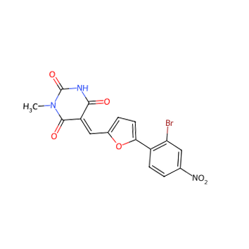 CN1C(=O)NC(=O)/C(=C\c2ccc(-c3ccc([N+](=O)[O-])cc3Br)o2)C1=O